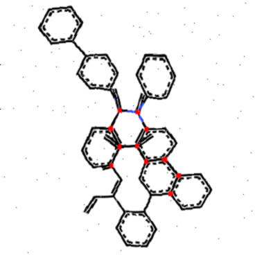 C=C/C(=C\C(=C)C(=C)/C=C\C(=C)N(c1ccccc1)c1ccc(-c2ccccc2)cc1)c1ccccc1-c1cccc(C(=C)/C=C\C(=C)N(c2ccccc2)c2ccc(-c3ccccc3)cc2)c1